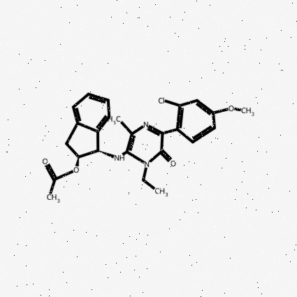 CCn1c(N[C@@H]2c3ccccc3C[C@@H]2OC(C)=O)c(C)nc(-c2ccc(OC)cc2Cl)c1=O